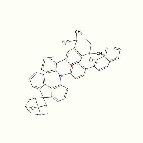 CC1(C)CCC(C)(C)c2cc(-c3ccccc3N(c3ccc(-c4ccc5ccccc5c4)cc3)c3cccc4c3-c3ccccc3C43C4CC5CC6CC3C64C5)ccc21